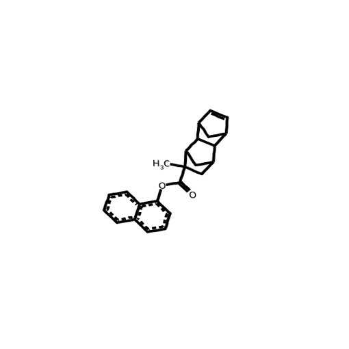 CC1(C(=O)Oc2cccc3ccccc23)CC2CC1C1C3C=CC(C3)C21